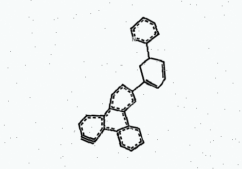 c1ccc2c(c#1)c1ccccc1c1cc(C3=CC=CC(c4ccccn4)C3)ccc21